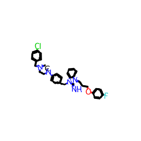 N=c1n(CCCOc2ccc(F)cc2)c2ccccc2n1Cc1ccc(N2CCN(Cc3ccc(Cl)cc3)CC2)cc1